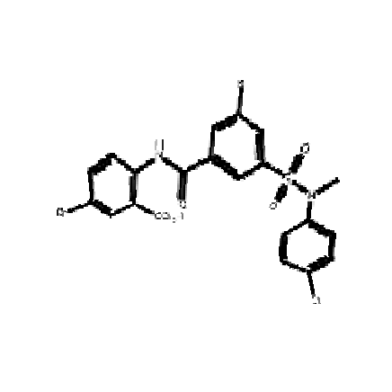 CN(c1ccc(Cl)cc1)S(=O)(=O)c1cc(Br)cc(C(=O)Nc2ccc(Br)cc2C(=O)O)c1